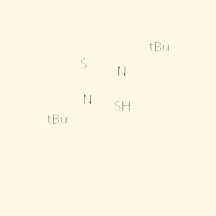 C=C[SH]1N(C(C)(C)C)SN1C(C)(C)C